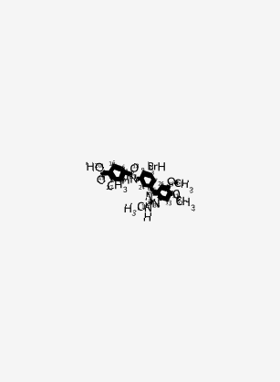 Br.CNc1nc(-c2cccc(NC(=O)c3ccc(C(=O)O)c(C)c3)c2)c2cc(OC)c(OC)cc2n1